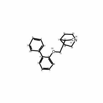 c1ccc(-c2ccccc2OCC2CN3CCC2CC3)cc1